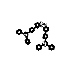 c1ccc(-c2cc(-c3ccc(-c4ccc5nc6oc7ccc(-c8ccc(-c9cc(-c%10ccccc%10)nc(-c%10ccccc%10)n9)cc8)cc7n6c5c4)cc3)nc(-c3ccccc3)n2)cc1